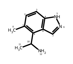 Cc1ccc2[nH]ncc2c1C(C)N